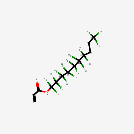 C=CC(=O)OC(F)(F)C(F)(F)C(F)(F)C(F)(F)C(F)(F)C(F)(F)C(F)(F)CCC(F)(F)F